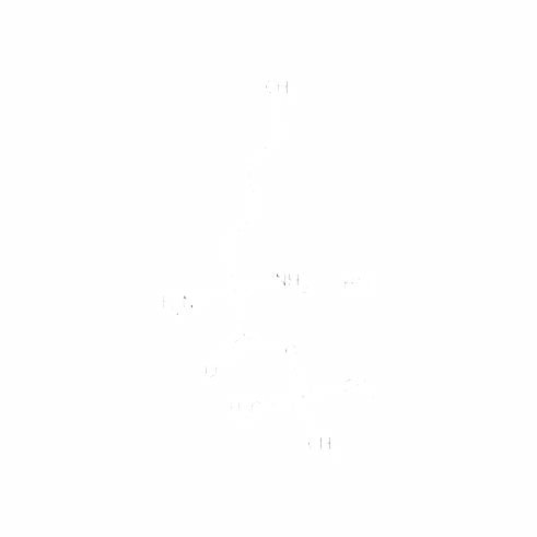 CCCCCC(N)(N)C(=O)OC(C)(C)C.Cl